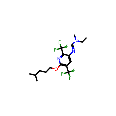 CCN(C)/C=N/c1cc(C(F)(F)F)c(OCCCC(C)C)nc1C(F)(F)F